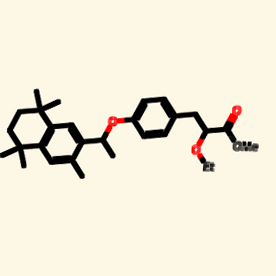 CCOC(Cc1ccc(OC(C)c2cc3c(cc2C)C(C)(C)CCC3(C)C)cc1)C(=O)OC